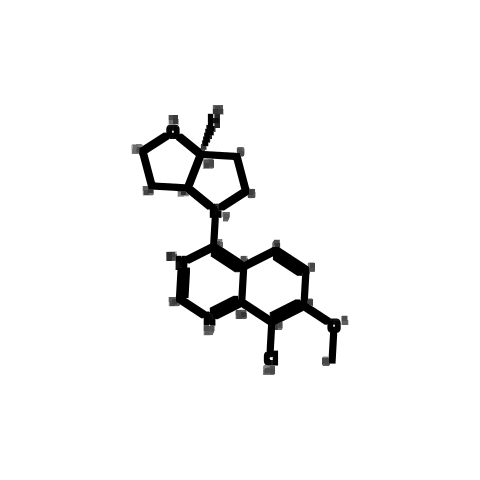 COc1ccc2c(N3CC[C@@H]4OCCC43)ncnc2c1Cl